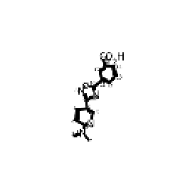 CN(C)c1ccc(-c2noc(-c3cccc(C(=O)O)c3)n2)cn1